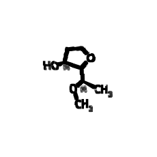 CO[C@H](C)C1OCC[C@@H]1O